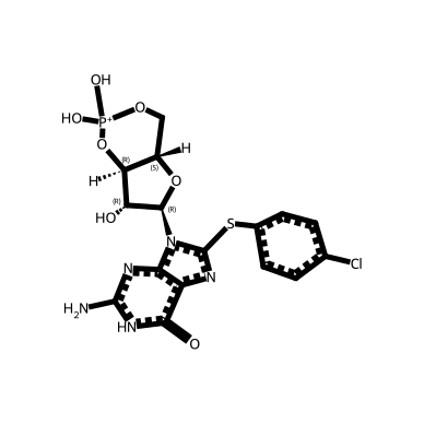 Nc1nc2c(nc(Sc3ccc(Cl)cc3)n2[C@@H]2O[C@H]3CO[P+](O)(O)O[C@@H]3[C@H]2O)c(=O)[nH]1